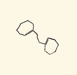 C1=C(CCC2=CCCCCC2)CCCCC1